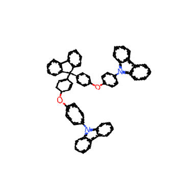 C1=CC(Oc2ccc(-n3c4ccccc4c4ccccc43)cc2)CC=C1C1(c2ccc(Oc3ccc(-n4c5ccccc5c5ccccc54)cc3)cc2)c2ccccc2-c2ccccc21